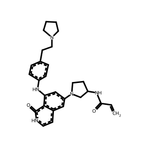 C=CC(=O)NC1CCN(c2cc(Nc3ccc(CCN4CCCC4)cc3)c3c(=O)[nH]ccc3c2)C1